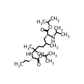 CCC[C@H](NC(C)(C)CCC(C)C[C@H](NC(C)C)C(=O)OC(C)C)C(=O)OC(C)C